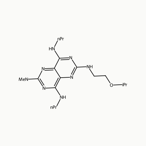 CCCNc1nc(NCCOC(C)C)nc2c(NCCC)nc(NC)nc12